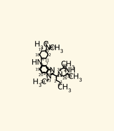 CCCC(c1nc2cc(NC3CCC(N(C)C)CC3)ccc2n1CC)N1CC(C)NC(C)C1